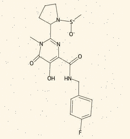 Cn1c(C2CCCN2[S+](C)[O-])nc(C(=O)NCc2ccc(F)cc2)c(O)c1=O